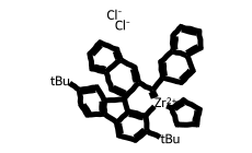 CC(C)(C)c1ccc2c(c1)Cc1c-2ccc(C(C)(C)C)[c]1[Zr+2]([C]1=CC=CC1)=[C](c1ccc2ccccc2c1)c1ccc2ccccc2c1.[Cl-].[Cl-]